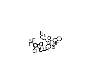 CCCCN1C(=O)C(CC2CCCCC2)NC(=O)C12CCN(Cc1ccc(-c3c(Cl)cc(C(F)(F)F)cc3Cl)o1)CC2